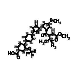 COC(=O)N[C@H](C(=O)N1C[C@@H](SC)C[C@H]1c1nc(-c2ccc(-c3ccc(C(=O)O)cc3OC(F)(F)F)cc2)c[nH]1)C(C)C